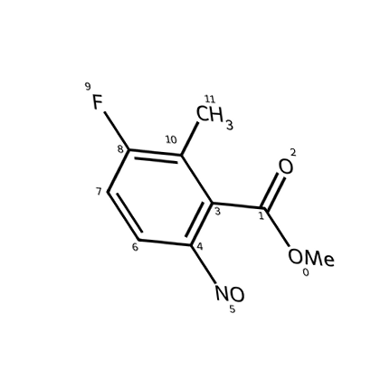 COC(=O)c1c(N=O)ccc(F)c1C